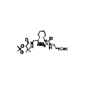 CCCCCCCCCCCCNC(=O)N(CCCC)C1CCCCC1C(CNC(=O)C1OC(C)(C)OCC1(C)C)C(=O)O